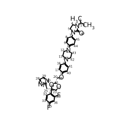 CC(C)N1CCN(c2ccc(N3CCN(c4ccc(OC[C@@H]5OC[C@@](Cn6nccn6)(c6ccc(F)cc6F)O5)cc4)CC3)cc2)C1=O